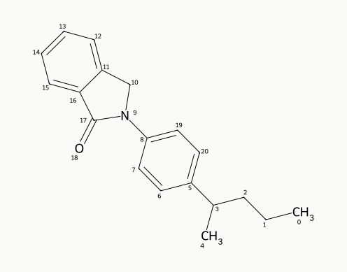 CCCC(C)c1ccc(N2Cc3ccccc3C2=O)cc1